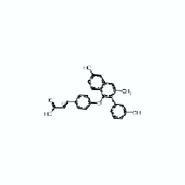 Cc1cc2cc(O)ccc2c(Oc2ccc(/C=C/C(=O)O)cc2)c1-c1cccc(O)c1